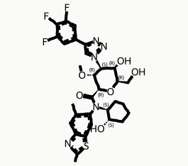 CO[C@@H]1[C@@H](n2cc(-c3cc(F)c(F)c(F)c3)nn2)[C@@H](O)[C@@H](CO)O[C@H]1C(=O)N(c1cc2sc(C)nc2cc1C)[C@H]1CCCC[C@@H]1O